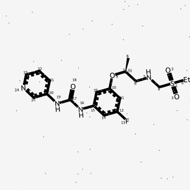 CCS(=O)(=O)CNC[C@H](C)Oc1cc(F)cc(NC(=O)Nc2cccnc2)c1